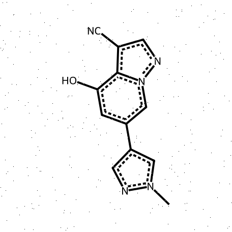 Cn1cc(-c2cc(O)c3c(C#N)cnn3c2)cn1